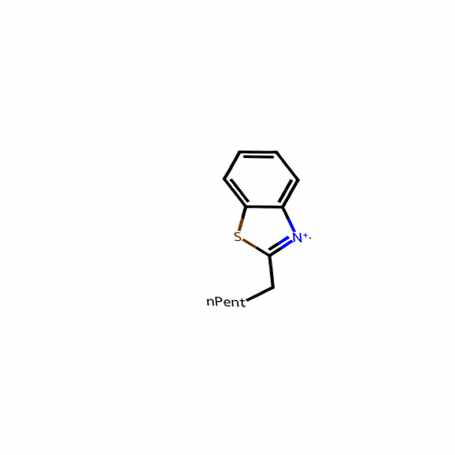 [CH2]CCCCCC1=[N+]c2ccccc2S1